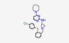 Clc1ccc(Sc2ccccc2CN2CC(Nc3nccc(N4CCCCCC4)n3)C2)cc1